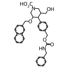 O=C(NCc1ccccc1)OCc1ccc(C2C(CO)CN(C(=O)O)CC2OCc2ccc3ccccc3c2)cc1